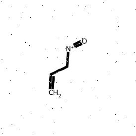 C=CC[N+]=O